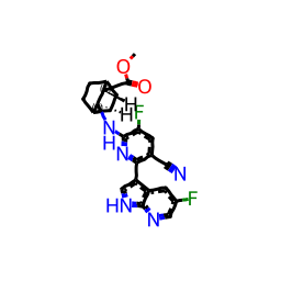 COC(=O)[C@H]1C2CCC(CC2)[C@@H]1Nc1nc(-c2c[nH]c3ncc(F)cc23)c(C#N)cc1F